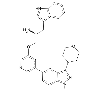 N[C@H](COc1cncc(-c2ccc3[nH]nc(N4CCOCC4)c3c2)c1)Cc1c[nH]c2ccccc12